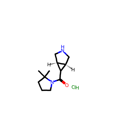 CC1(C)CCCN1C(=O)C1[C@H]2CNC[C@@H]12.Cl